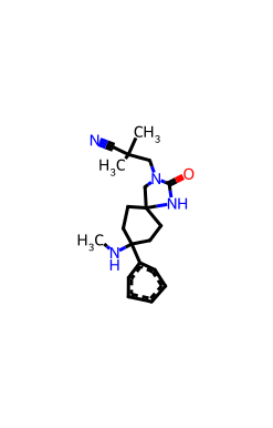 CNC1(c2ccccc2)CCC2(CC1)CN(CC(C)(C)C#N)C(=O)N2